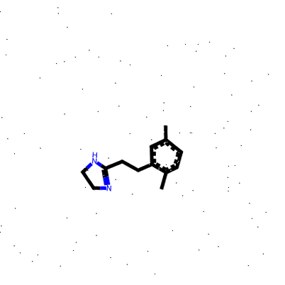 Cc1ccc(C)c(CCC2=NCCN2)c1